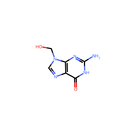 Nc1nc2c(ncn2CO)c(=O)[nH]1